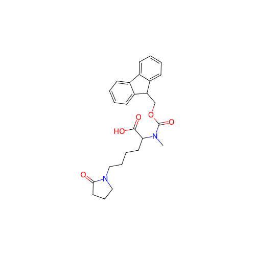 CN(C(=O)OCC1c2ccccc2-c2ccccc21)C(CCCCN1CCCC1=O)C(=O)O